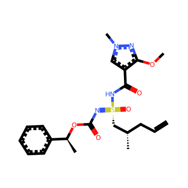 C=CC[C@H](C)C[S@](=O)(=NC(=O)O[C@@H](C)c1ccccc1)NC(=O)c1cn(C)nc1OC